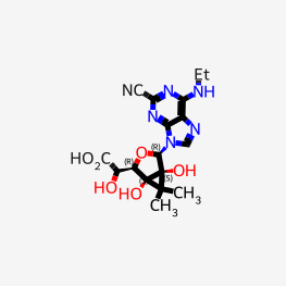 CCNc1nc(C#N)nc2c1ncn2[C@@H]1O[C@H](C(O)C(=O)O)[C@@]2(O)C(C)(C)[C@@]12O